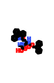 C[C@H](NC(=O)[C@H](CCC(=O)NC(c1ccccc1)(c1ccccc1)c1ccccc1)NC(=O)OCC1c2ccccc2-c2ccccc21)C(=O)O